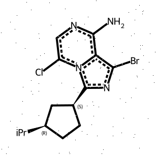 CC(C)[C@@H]1CC[C@H](c2nc(Br)c3c(N)ncc(Cl)n23)C1